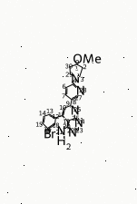 COC1CCN(c2ccc(-c3cc(-c4cccc(Br)c4)c4c(N)ncnc4n3)cn2)CC1